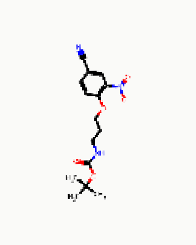 CC(C)(C)OC(=O)NCCCOc1ccc(C#N)cc1[N+](=O)[O-]